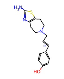 Nc1nc2c(s1)CCN(C/C=C/c1ccc(O)cc1)CC2